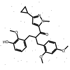 COc1ccc(CC(Cc2cccc(O)c2OC)C(=O)c2cc(C3CC3)nn2C)c(OC)c1